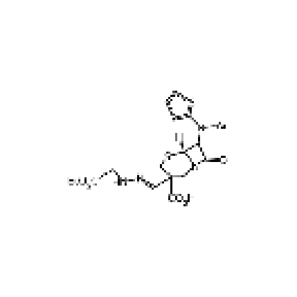 CCOC(=O)CNN=CC1(C(=O)O)CS[C@@H]2C(N(C(C)=O)c3cccs3)C(=O)N2C1